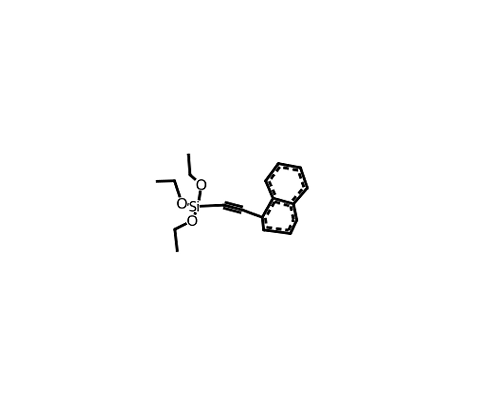 CCO[Si](C#Cc1cccc2ccccc12)(OCC)OCC